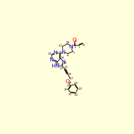 C=CC(=O)N1CCN(c2ncnc3[nH]c(C#CCOc4ccccc4)nc23)CC1